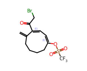 C=C1CCCC/C(OS(=O)(=O)C(F)(F)F)=C\C=C/1C(=O)CBr